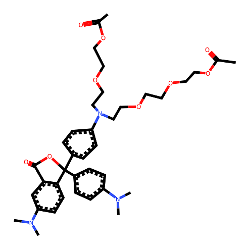 CC(=O)OCCOCCOCCN(CCOCCOC(C)=O)c1ccc(C2(c3ccc(N(C)C)cc3)OC(=O)c3cc(N(C)C)ccc32)cc1